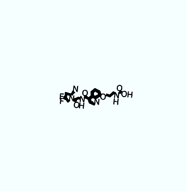 N#CC1CC(F)(F)CN1C(=O)CNC(=O)c1ccnc2c(OCCCNC(=O)O)cccc12